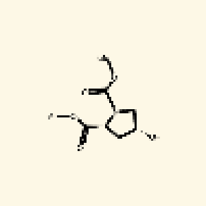 CCCOC(=O)[C@@H]1C[C@@H](O)CN1C(=O)OC(C)(C)C